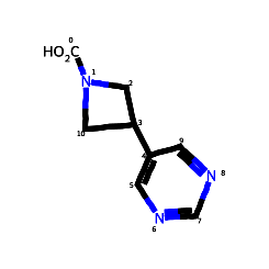 O=C(O)N1CC(c2cncnc2)C1